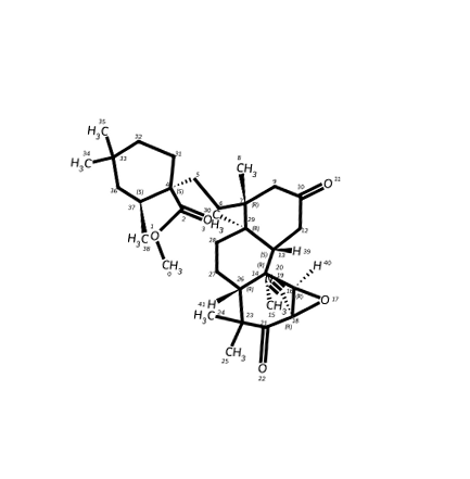 COC(=O)[C@]1(CC[C@]2(C)CC(=O)C[C@@H]3[C@@]4(C)[C@H]5O[C@@]5(C#N)C(=O)C(C)(C)[C@@H]4CC[C@]32C)CCC(C)(C)C[C@@H]1C